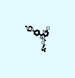 CN1CCN(c2ccc(-c3nn(COCC[Si](C)(C)C)c4ccc(Cl)nc34)cc2)CC1